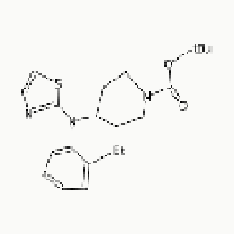 CCc1ccccc1N(c1nccs1)C1CCN(C(=O)OC(C)(C)C)CC1